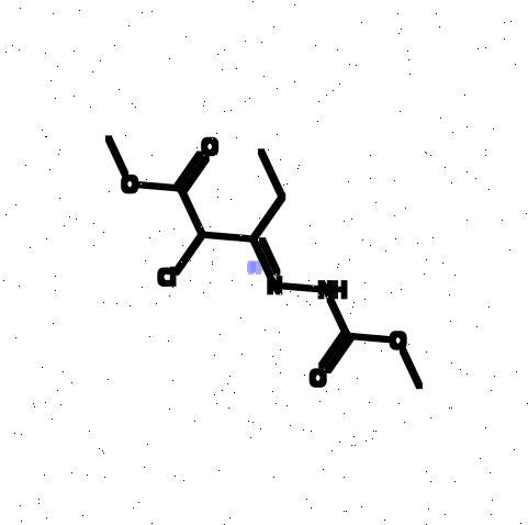 CC/C(=N\NC(=O)OC)C(Cl)C(=O)OC